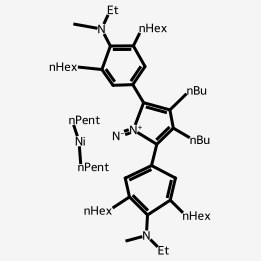 CCCCCCc1cc(C2=C(CCCC)C(CCCC)=C(c3cc(CCCCCC)c(N(C)CC)c(CCCCCC)c3)[N+]2=[N-])cc(CCCCCC)c1N(C)CC.CCCC[CH2][Ni][CH2]CCCC